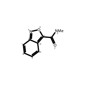 CNC(=O)c1onc2ccccc12